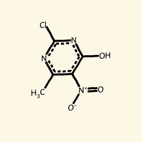 Cc1nc(Cl)nc(O)c1[N+](=O)[O-]